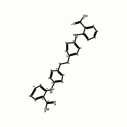 O=C(O)c1ccccc1Nc1ccc(CCc2ccc(Nc3ccccc3C(=O)O)cc2)cc1